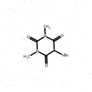 CCCCC1C(=O)N(C)C(=O)N(C)C1=O